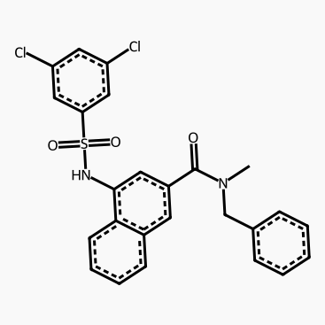 CN(Cc1ccccc1)C(=O)c1cc(NS(=O)(=O)c2cc(Cl)cc(Cl)c2)c2ccccc2c1